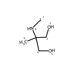 CC(CO)(CO)NI